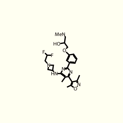 CNCC(O)COc1cccc(-c2nc(NC3CN(CC(F)F)C3)c(C)c(-c3c(C)noc3C)n2)c1